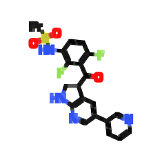 CC(C)S(=O)(=O)Nc1ccc(F)c(C(=O)C2CNc3ncc(-c4cccnc4)cc32)c1F